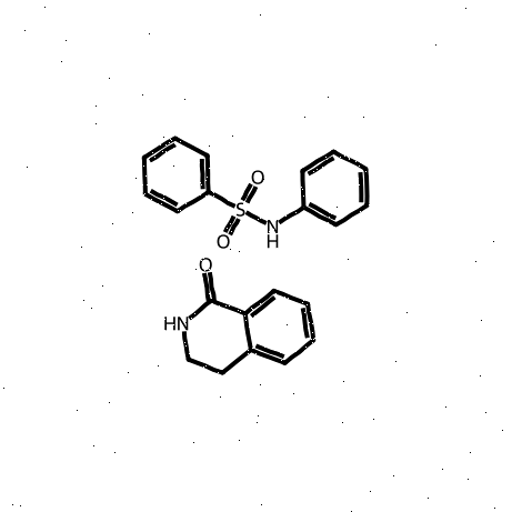 O=C1NCCc2ccccc21.O=S(=O)(Nc1ccccc1)c1ccccc1